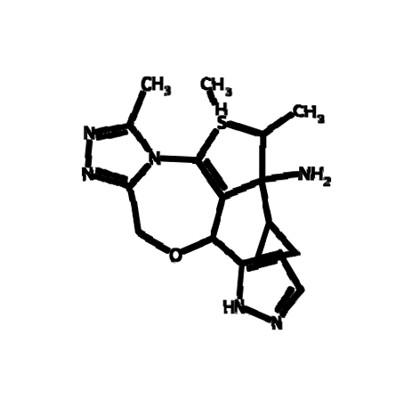 Cc1nnc2n1C1=C(C(c3ccn[nH]3)OC2)C(N)(C2CC2)C(C)[SH]1C